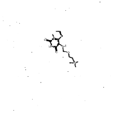 C/C=N\c1c(NCOCC[Si](C)(C)C)c(=O)[nH]c(=O)n1C